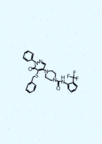 O=C(Nc1ccccc1C(F)(F)F)N1CCN(c2cnn(-c3ccccc3)c(=O)c2SCc2ccccc2)CC1